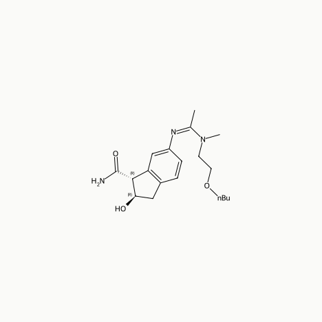 CCCCOCCN(C)C(C)=Nc1ccc2c(c1)[C@@H](C(N)=O)[C@H](O)C2